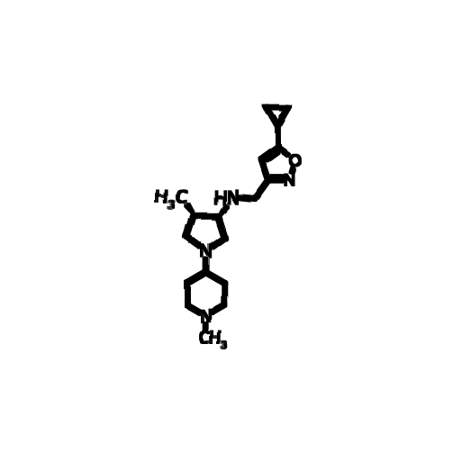 C[C@@H]1CN(C2CCN(C)CC2)C[C@@H]1NCc1cc(C2CC2)on1